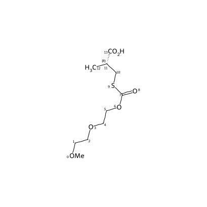 COCCOCCOC(=O)SC[C@H](C)C(=O)O